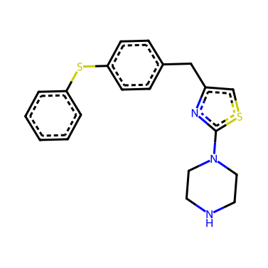 c1ccc(Sc2ccc(Cc3csc(N4CCNCC4)n3)cc2)cc1